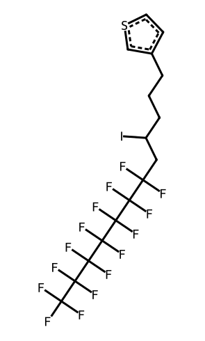 FC(F)(F)C(F)(F)C(F)(F)C(F)(F)C(F)(F)C(F)(F)C(F)(F)CC(I)CCCc1ccsc1